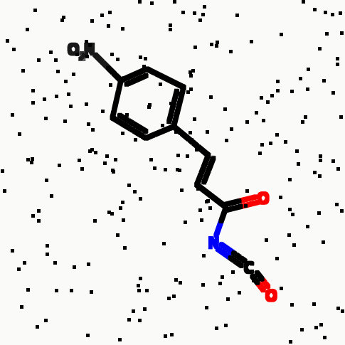 O=C=NC(=O)C=Cc1ccc([N+](=O)[O-])cc1